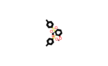 C=C[C@@]1(S(=O)(=O)c2ccc(C)cc2)C=CC=C(OC)[C@H]1S(=O)(=O)c1ccc(C)cc1